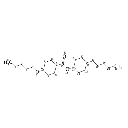 CCCCCOC1CCC(C(=O)OC2CCC(CCCCC)CC2)CC1